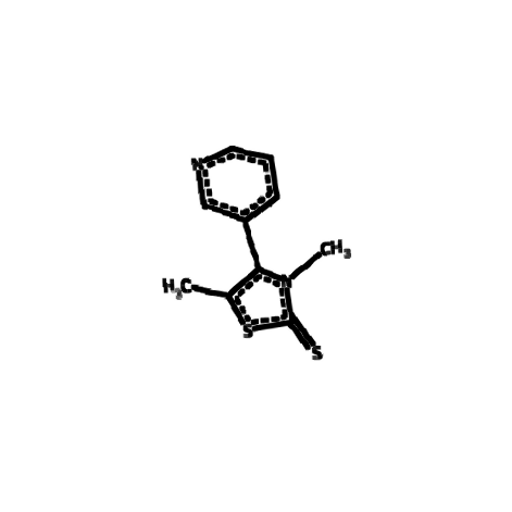 Cc1sc(=S)n(C)c1-c1cccnc1